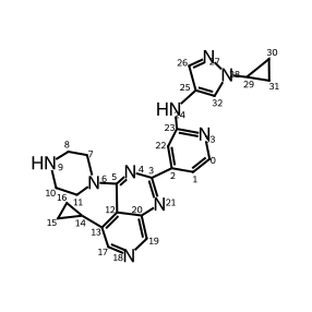 c1cc(-c2nc(N3CCNCC3)c3c(C4CC4)cncc3n2)cc(Nc2cnn(C3CC3)c2)n1